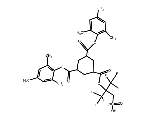 Cc1cc(C)c(OC(=O)C2CC(C(=O)Oc3c(C)cc(C)cc3C)CC(C(=O)OC(CS(=O)(=O)O)(C(F)(F)F)C(F)(F)F)C2)c(C)c1